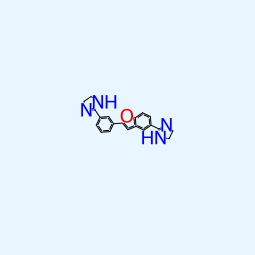 c1cc(C2=NCCN2)cc(-c2cc3cc(C4=NCCN4)ccc3o2)c1